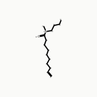 C=CCCCCCCCC(=O)N(C)CCCC